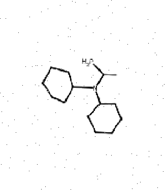 CC(P)N(C1CCCCC1)C1CCCCC1